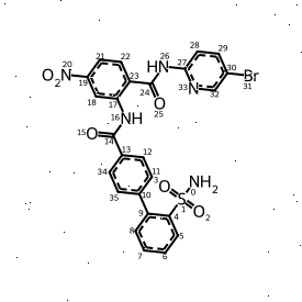 NS(=O)(=O)c1ccccc1-c1ccc(C(=O)Nc2cc([N+](=O)[O-])ccc2C(=O)Nc2ccc(Br)cn2)cc1